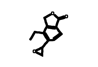 CCc1c(C2CO2)ccc2c1COC2=O